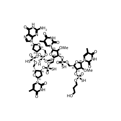 COC1[C@@H](OP(=O)(S)OCCCO)[C@@H](COP(=O)(S)O[C@@H]2C(OC)[C@H](n3cc(C)c(=O)[nH]c3=O)O[C@@H]2COP(=O)(S)O[C@@H]2C[C@H](n3cc(C)c(=O)[nH]c3=O)O[C@@H]2COP(=O)(S)O[C@@H]2C[C@H](n3cnc4c(=O)[nH]c(N)nc43)O[C@@H]2COP(=O)(S)OC(C)C)O[C@H]1n1cc(C)c(=O)[nH]c1=O